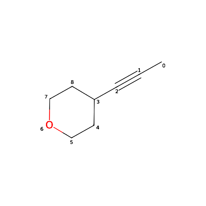 CC#CC1CCOCC1